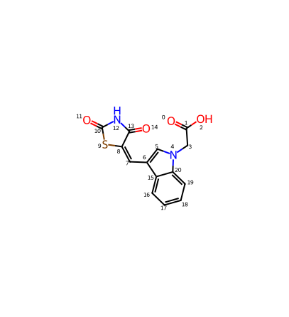 O=C(O)Cn1cc(/C=C2/SC(=O)NC2=O)c2ccccc21